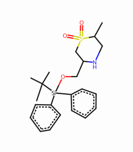 CC1CNC(CO[Si](c2ccccc2)(c2ccccc2)C(C)(C)C)CS1(=O)=O